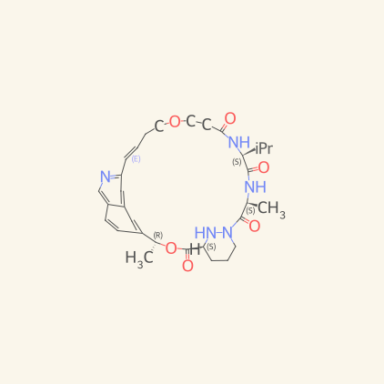 CC(C)[C@@H]1NC(=O)CCOCC/C=C/c2cc3cc(ccc3cn2)[C@@H](C)OC(=O)[C@@H]2CCCN(N2)C(=O)[C@H](C)NC1=O